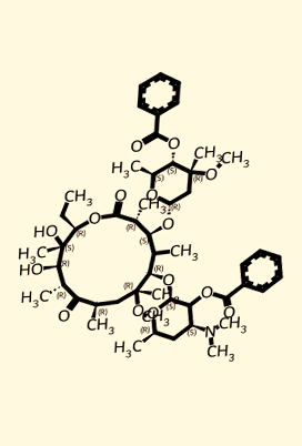 CC[C@H]1OC(=O)[C@H](C)[C@@H](O[C@H]2C[C@@](C)(OC)[C@@H](OC(=O)c3ccccc3)[C@H](C)O2)C(C)[C@@H](O[C@@H]2O[C@H](C)C[C@H](N(C)C)C2OC(=O)c2ccccc2)[C@](C)(OC)C[C@@H](C)C(=O)[C@H](C)[C@@H](O)[C@]1(C)O